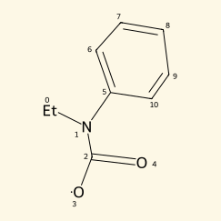 CCN(C([O])=O)c1ccccc1